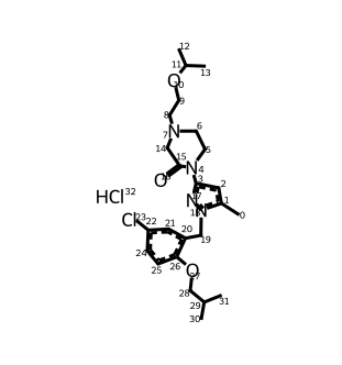 Cc1cc(N2CCN(CCOC(C)C)CC2=O)nn1Cc1cc(Cl)ccc1OCC(C)C.Cl